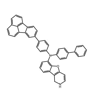 C1=Cc2oc3c(N(c4ccc(-c5ccccc5)cc4)c4ccc(-c5ccc6c(c5)-c5cccc7cccc-6c57)cc4)cccc3c2CN1